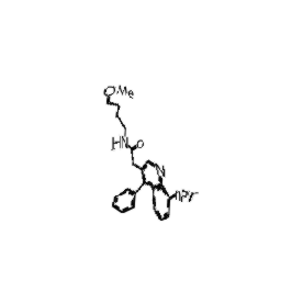 CCCc1cccc2c(-c3ccccc3)c(CC(=O)NCCCCOC)cnc12